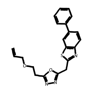 C=CCOCCc1nnc(Cc2nc3ccc(-c4ccccc4)cc3s2)o1